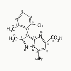 Cc1cccc(Cl)c1-c1c(C)nn2c(C(C)C)cc(C(=O)O)nc12